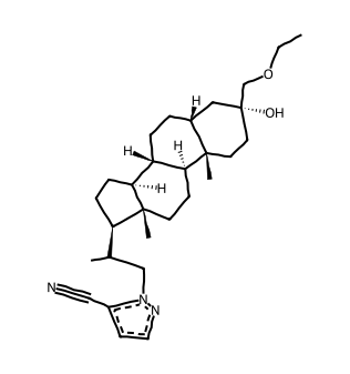 CCOC[C@@]1(O)CC[C@@]2(C)[C@H](CC[C@@H]3[C@@H]2CC[C@]2(C)[C@@H](C(C)Cn4nccc4C#N)CC[C@@H]32)C1